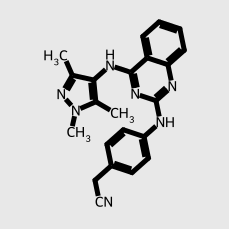 Cc1nn(C)c(C)c1Nc1nc(Nc2ccc(CC#N)cc2)nc2ccccc12